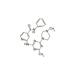 Cc1nc(Nc2cc(C(=O)Nc3ccccc3)ccn2)nc(N2CCN(C)CC2)n1